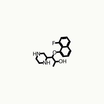 CC(O)C(Oc1cccc2cccc(F)c12)C1CNCCN1